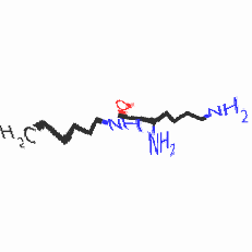 C=CCCCCNC(=O)[C@@H](N)CCCCN